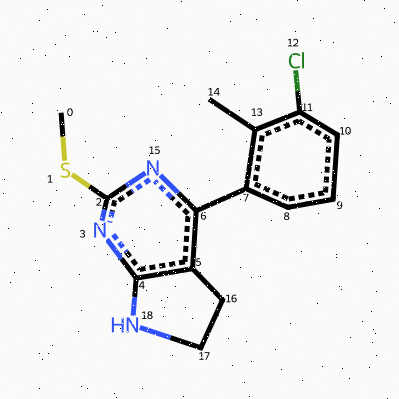 CSc1nc2c(c(-c3cccc(Cl)c3C)n1)CCN2